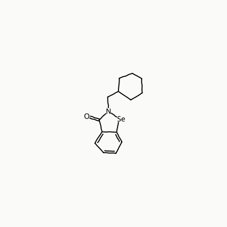 O=c1c2ccccc2[se]n1CC1CCCCC1